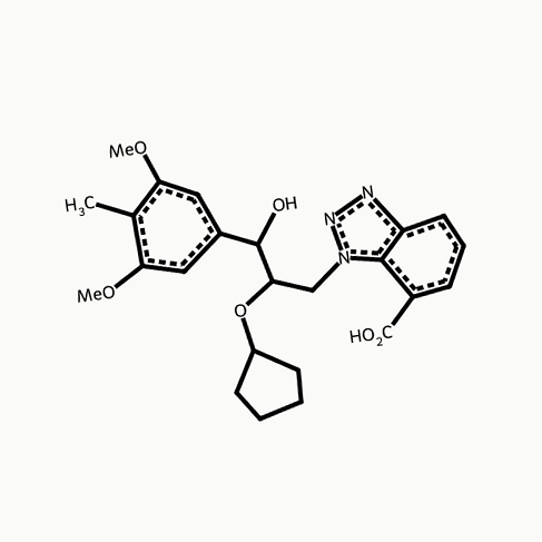 COc1cc(C(O)C(Cn2nnc3cccc(C(=O)O)c32)OC2CCCC2)cc(OC)c1C